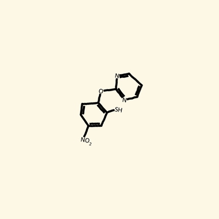 O=[N+]([O-])c1ccc(Oc2ncccn2)c(S)c1